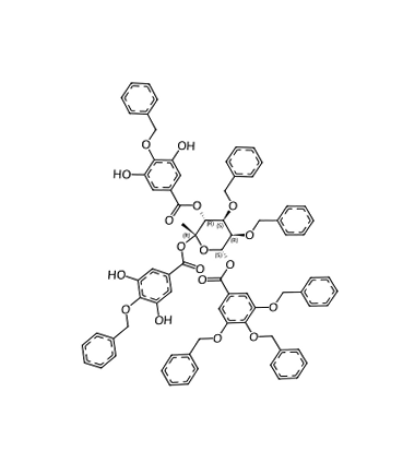 C[C@]1(OC(=O)c2cc(O)c(OCc3ccccc3)c(O)c2)O[C@@H](OC(=O)c2cc(OCc3ccccc3)c(OCc3ccccc3)c(OCc3ccccc3)c2)[C@H](OCc2ccccc2)[C@H](OCc2ccccc2)[C@H]1OC(=O)c1cc(O)c(OCc2ccccc2)c(O)c1